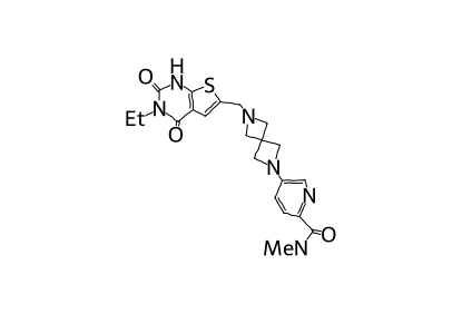 CCn1c(=O)[nH]c2sc(CN3CC4(C3)CN(c3ccc(C(=O)NC)nc3)C4)cc2c1=O